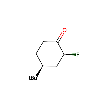 CC(C)(C)[C@H]1CCC(=O)[C@@H](F)C1